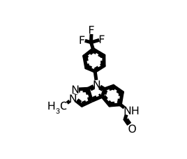 Cn1cc2c3cc(NC=O)ccc3n(-c3ccc(C(F)(F)F)cc3)c2n1